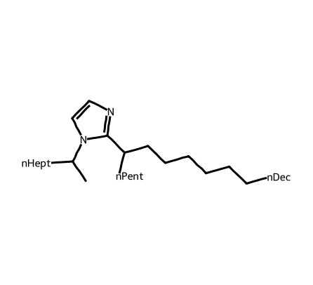 CCCCCCCCCCCCCCCCC(CCCCC)c1nccn1C(C)CCCCCCC